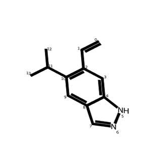 C=Cc1cc2[nH]ncc2cc1C(C)C